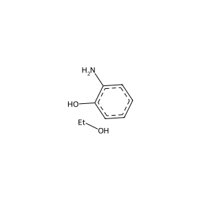 CCO.Nc1ccccc1O